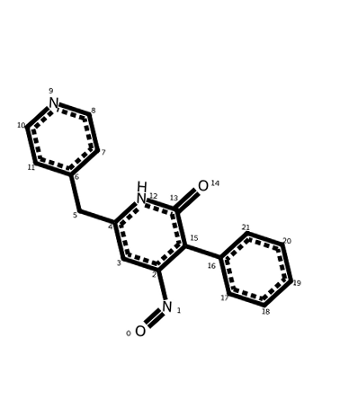 O=Nc1cc(Cc2ccncc2)[nH]c(=O)c1-c1ccccc1